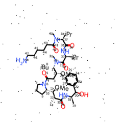 CC[C@H](C)[C@@H]([C@@H](CC(=O)N1CCC[C@H]1C(OC)[C@@H](C)C(=O)N[C@H](C)C(O)c1ccccc1)OC)N(C)C(=O)[C@@H](NC(=O)[C@H](C(C)C)N(C)C(=O)CCCCCN)C(C)C